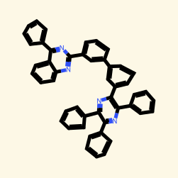 c1ccc(-c2nc(-c3ccccc3)c(-c3cccc(-c4cccc(-c5nc(-c6ccccc6)c6ccccc6n5)c4)c3)nc2-c2ccccc2)cc1